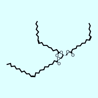 CCCCC/C=C\CCCCCCCC(=O)OC[C@H](COC(=O)CCCCCCCCC/C=C\CCCCCCCCCC)OC(=O)CCCCCCC/C=C\CCCCCCC